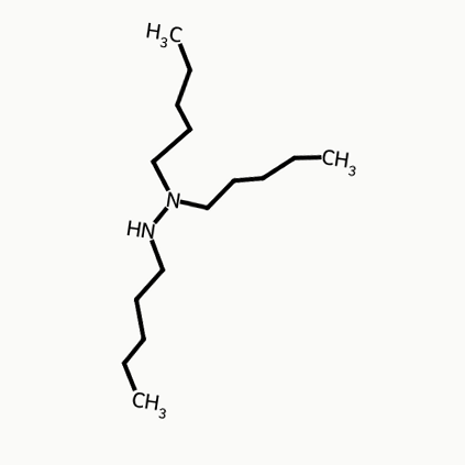 CCCCCNN(CCCCC)CCCCC